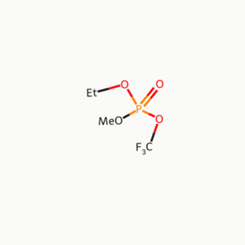 CCOP(=O)(OC)OC(F)(F)F